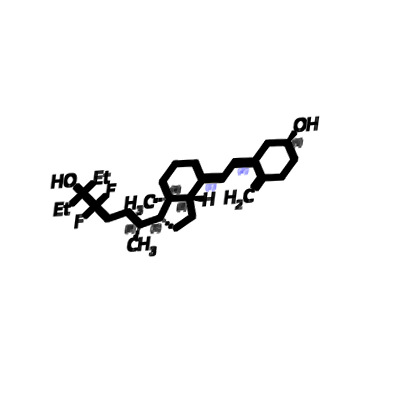 C=C1CC[C@H](O)C/C1=C/C=C1\CCC[C@]2(C)[C@@H]([C@H](C)CCC(F)(F)C(O)(CC)CC)CC[C@@H]12